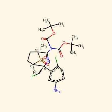 CC(C)(C)OC(=O)N(C(=O)OC(C)(C)C)C1=N[C@](CF)(c2cc(N)ccc2F)[C@H]2CC[C@]1(C)S2(=O)=O